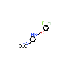 O=C(O)NCC1CCC(NCCOc2ccc(Cl)c(F)c2)CC1